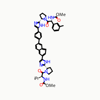 COC(=O)N[C@H](C(=O)N1CCC[C@H]1c1ncc(-c2ccc3cc(-c4ccc(-c5cnc([C@@H]6CCCN6C(=O)[C@H](NC(=O)OC)c6cccc(C)c6)[nH]5)cc4)ccc3c2)[nH]1)C(C)C